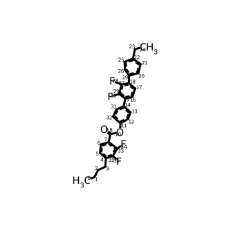 CCCCc1ccc(C(=O)Oc2ccc(-c3ccc(-c4ccc(CC)cc4)c(F)c3F)cc2)c(F)c1F